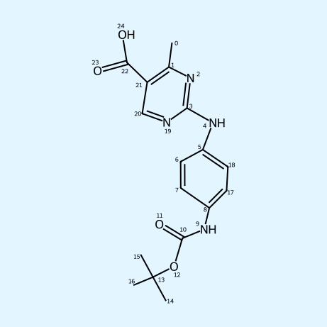 Cc1nc(Nc2ccc(NC(=O)OC(C)(C)C)cc2)ncc1C(=O)O